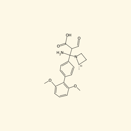 COc1cccc(OC)c1-c1ccc(C(N)(C(C=O)C(=O)O)N2CC[C@@H]2C)cc1